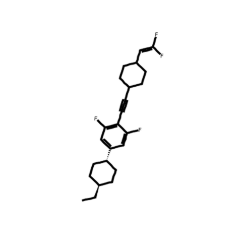 CC[C@H]1CC[C@H](c2cc(F)c(C#CC3CCC(C=C(F)F)CC3)c(F)c2)CC1